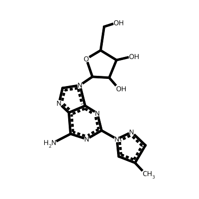 Cc1cnn(-c2nc(N)c3ncn(C4OC(CO)C(O)C4O)c3n2)c1